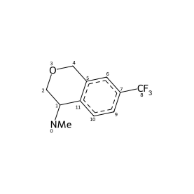 CNC1COCc2cc(C(F)(F)F)ccc21